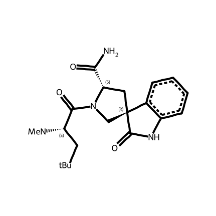 CN[C@@H](CC(C)(C)C)C(=O)N1C[C@]2(C[C@H]1C(N)=O)C(=O)Nc1ccccc12